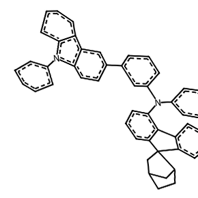 c1ccc(N(c2cccc(-c3ccc4c(c3)c3ccccc3n4-c3ccccc3)c2)c2cccc3c2-c2ccccc2C32CC3CCC2C3)cc1